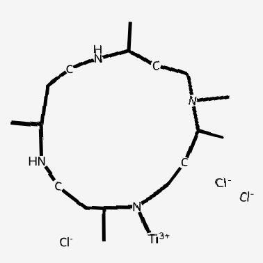 CC1CCNC(C)CCN(C)C(C)CC[N]([Ti+3])C(C)CCN1.[Cl-].[Cl-].[Cl-]